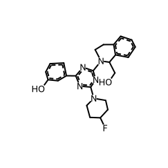 OCC1c2ccccc2CCN1c1nc(-c2cccc(O)c2)nc(N2CCC(F)CC2)n1